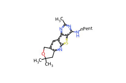 CCCCCNc1nc(C)nc2c1sc1nc3c(cc12)COC(C)(C)C3